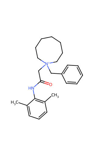 Cc1cccc(C)c1NC(=O)C[N+]1(Cc2ccccc2)CCCCCCC1